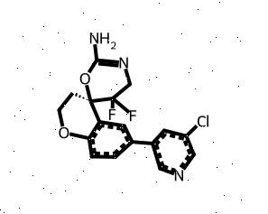 NC1=NCC(F)(F)[C@]2(CCOc3ccc(-c4cncc(Cl)c4)cc32)O1